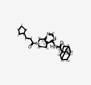 O=C(CCC1CCCC1)N1CCc2c(ncnc2NC(=O)C23CC4CC(CC(C4)C2)C3)C1